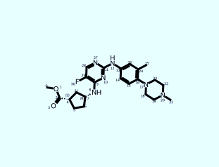 COC(=O)[C@H]1CC[C@@H](Nc2nc(Nc3ccc(N4CCN(C)CC4)c(C)c3)ncc2F)C1